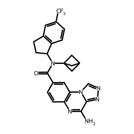 Nc1nc2ccc(C(=O)N(C3CCc4cc(C(F)(F)F)ccc43)C34CC(C3)C4)cc2n2cnnc12